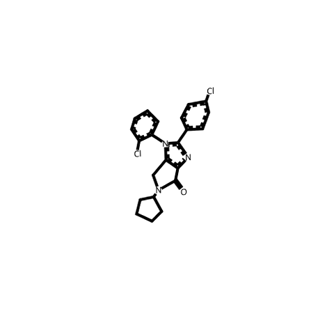 O=C1c2nc(-c3ccc(Cl)cc3)n(-c3ccccc3Cl)c2CN1C1CCCC1